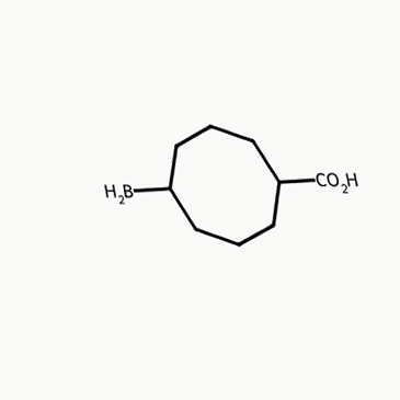 BC1CCCC(C(=O)O)CCC1